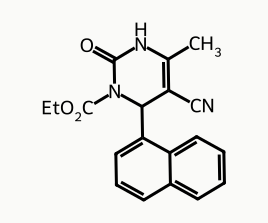 CCOC(=O)N1C(=O)NC(C)=C(C#N)C1c1cccc2ccccc12